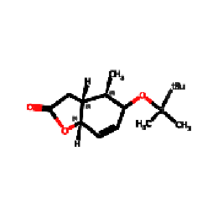 C[C@H]1C(O[Si](C)(C)C(C)(C)C)C=C[C@@H]2OC(=O)C[C@@H]21